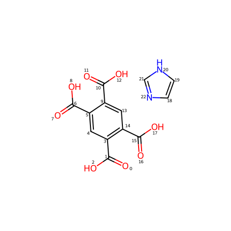 O=C(O)c1cc(C(=O)O)c(C(=O)O)cc1C(=O)O.c1c[nH]cn1